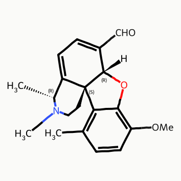 COc1ccc(C)c2c1O[C@H]1C(C=O)=CC=C3[C@@H](C)N(C)CC[C@]321